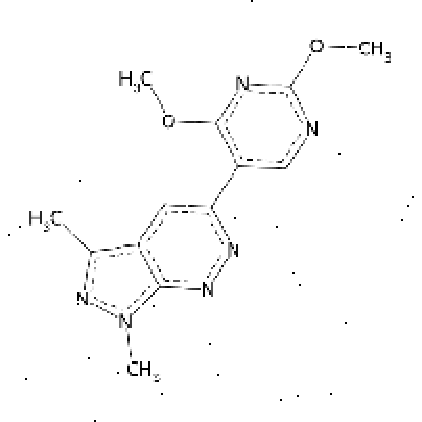 COc1ncc(-c2cc3c(C)nn(C)c3nn2)c(OC)n1